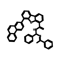 C=C(NC(/N=C(\C)c1ccccc1)c1ccccc1)c1cccc2c1oc1c(-c3ccc4c(ccc5ccccc54)c3)cccc12